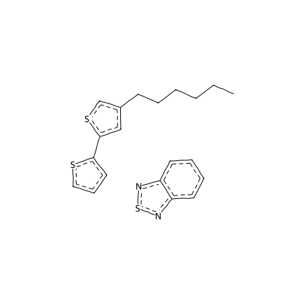 CCCCCCc1csc(-c2cccs2)c1.c1ccc2nsnc2c1